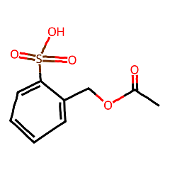 CC(=O)OCc1ccccc1S(=O)(=O)O